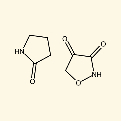 O=C1CCCN1.O=C1CONC1=O